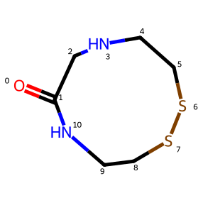 O=C1CNCCSSCCN1